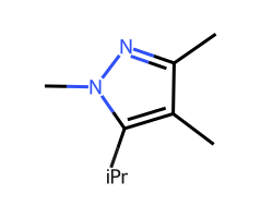 Cc1nn(C)c(C(C)C)c1C